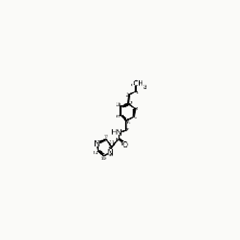 CCCc1ccc(CNC(=O)c2cnccn2)cc1